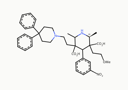 COCCC1(C(=O)O)C(c2cccc([N+](=O)[O-])c2)C(CCN2CCC(c3ccccc3)(c3ccccc3)CC2)(C(=O)O)C(C)N[C@H]1C